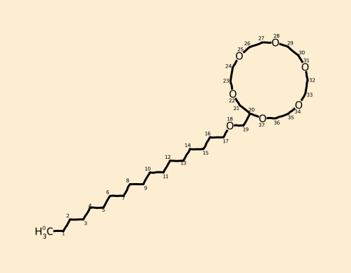 CCCCCCCCCCCCCCCCCCOCC1COCCOCCOCCOCCOCCO1